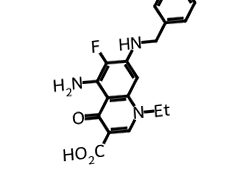 CCn1cc(C(=O)O)c(=O)c2c(N)c(F)c(NCc3ccccc3)cc21